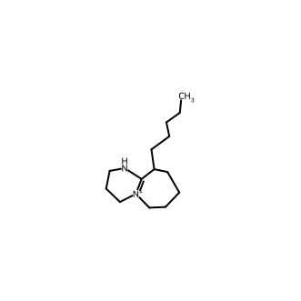 CCCCCC1CCCC[N+]2=C1NCCC2